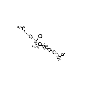 CC1(C)CCC(CN2CCN(c3ccc(C(=O)NS(=O)(=O)c4ccc(N[C@H](CCN5CCN(CCCCCC(N)=O)CC5)CSc5ccccc5)c(S(=O)(=O)C(F)(F)F)c4)cc3)CC2)=C(C23CC(C)(C2)C3)C1